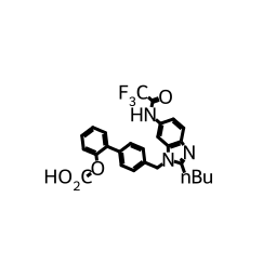 CCCCc1nc2ccc(NC(=O)C(F)(F)F)cc2n1Cc1ccc(-c2ccccc2OC(=O)O)cc1